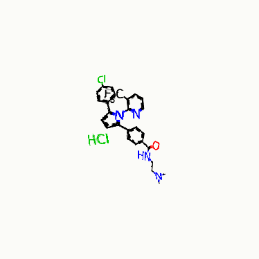 CN(C)CCNC(=O)c1ccc(-c2ccc(-c3ccc(Cl)cc3)n2-c2ncccc2C(F)(F)F)cc1.Cl